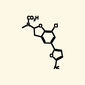 CC(=O)c1ccc(-c2cc(Cl)c3c(c2)CC(N(C)C(=O)O)O3)o1